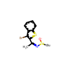 C/C(=N/[S+]([O-])C(C)(C)C)c1sc2ccccc2c1Br